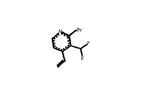 C=Cc1ccnc(C(C)C)c1C(F)F